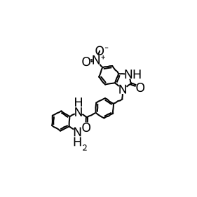 Nc1ccccc1NC(=O)c1ccc(Cn2c(=O)[nH]c3cc([N+](=O)[O-])ccc32)cc1